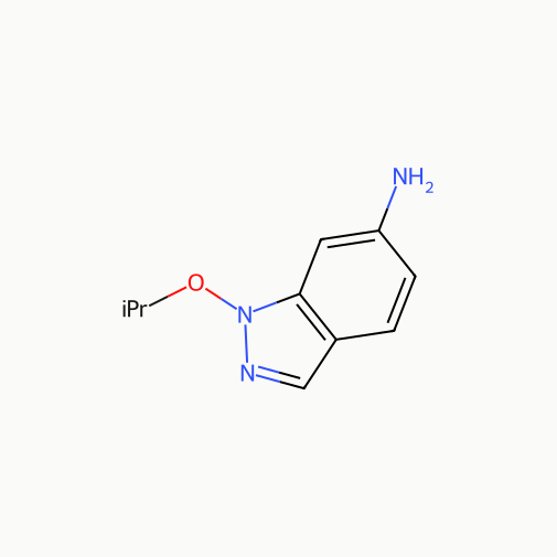 CC(C)On1ncc2ccc(N)cc21